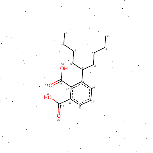 CCCCC(CCCC)c1cccc(C(=O)O)c1C(=O)O